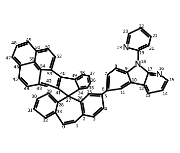 C1=Cc2ccc(-c3ccc4c(c3)c3cccnc3n4-c3ccccn3)cc2C2(c3ccccc31)c1ccccc1-c1c2cc2ccc3cccc4ccc1c2c34